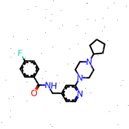 O=C(NCc1ccnc(N2CCN(C3CCCC3)CC2)c1)c1ccc(F)cc1